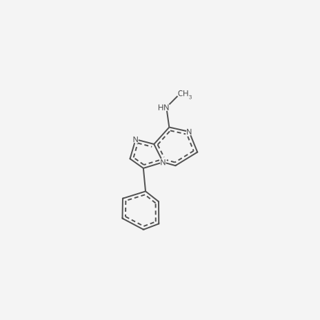 CNc1nccn2c(-c3ccccc3)cnc12